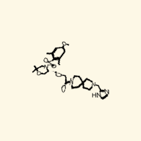 COc1cc(C)c(S(=O)(=O)N2CC(C)(C)OC[C@H]2COCC(=O)N2CCC3(CCN(CC4=NCCN4)CC3)CC2)c(C)c1